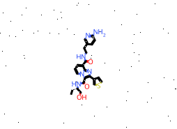 CC[C@@H](CO)NC(=O)c1c(-c2ccsc2)nc2c(C(=O)NCCc3ccc(N)nc3)cccn12